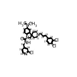 CN(C)c1ccc2c(c1)C1(CCN(CC=Cc3ccc(Cl)c(Cl)c3)CC1)CN2C(=O)NCc1ccnc(Cl)c1